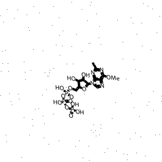 COc1nc(C)nc2c1ncn2C1OC(COP(=O)(O)OP(=O)(O)OP(=O)(O)O)C(O)C1O